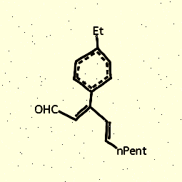 CCCCC/C=C/C(=C/C=O)c1ccc(CC)cc1